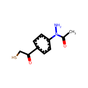 CC(=O)N(N)c1ccc(C(=O)CS)cc1